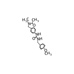 CCN(Cc1ccc(NC(=O)NCc2ccc(OC)cc2)cc1)C(C)=O